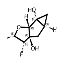 C[C@@H]1O[C@@H]2[C@@]3(O)C[C@H]3C[C@]2(O)[C@@H]1F